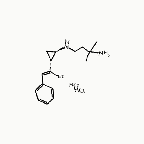 CC/C(=C\c1ccccc1)[C@@H]1C[C@H]1NCCC(C)(C)N.Cl.Cl